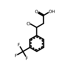 O=C(O)CC(Cl)c1cccc(C(F)(F)F)c1